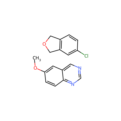 COc1ccc2ncncc2c1.Clc1ccc2c(c1)COC2